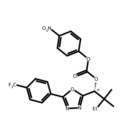 CCC(C)(C)[C@@H](OC(=O)Oc1ccc([N+](=O)[O-])cc1)c1nnc(-c2ccc(C(F)(F)F)cc2)o1